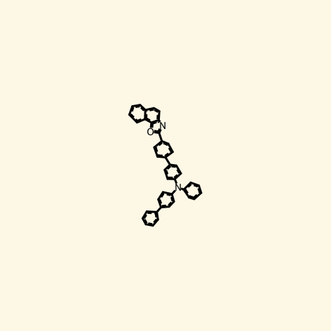 c1ccc(-c2ccc(N(c3ccccc3)c3ccc(-c4ccc(-c5nc6ccc7ccccc7c6o5)cc4)cc3)cc2)cc1